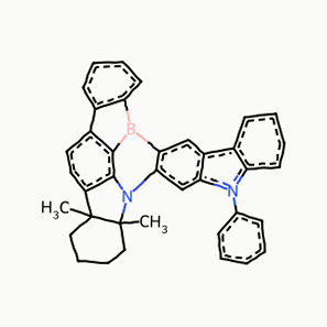 CC12CCCCC1(C)N1c3cc4c(cc3B3c5ccccc5-c5ccc2c1c53)c1ccccc1n4-c1ccccc1